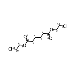 O=C(CCCCC(=O)OCCCl)OCCCl